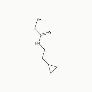 CC(C)CC(=O)NCCC1CC1